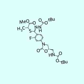 COC(=O)C(C)SC(=NNC(=O)OC(C)(C)C)c1ccc(N2C[C@@H](CNC(=O)OC(C)(C)C)OC2=O)cc1F